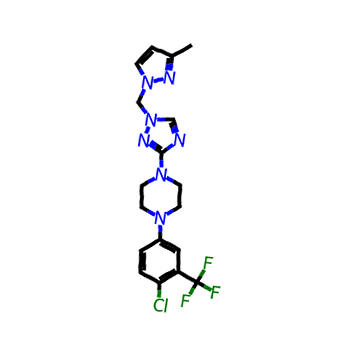 Cc1ccn(Cn2cnc(N3CCN(c4ccc(Cl)c(C(F)(F)F)c4)CC3)n2)n1